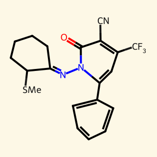 CSC1CCCCC1=Nn1c(-c2ccccc2)cc(C(F)(F)F)c(C#N)c1=O